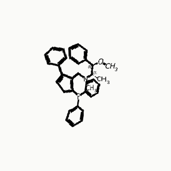 CO[C@H](c1ccccc1)[C@H](C)N(C)CC1=C(P(c2ccccc2)c2ccccc2)CC=C1c1ccccc1